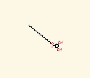 CCCCCCCCCCCCCCCCCCOC(=O)c1cc(O)cc(O)c1